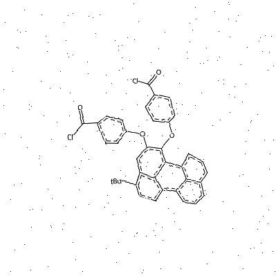 CC(C)(C)c1ccc2c3cccc4cccc(c5c(Oc6ccc(C(=O)Cl)cc6)c(Oc6ccc(C(=O)Cl)cc6)cc1c25)c43